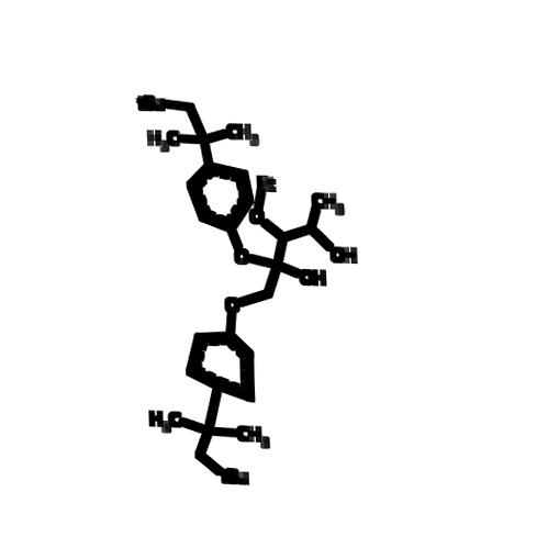 CCOC(C(C)O)C(O)(COc1ccc(C(C)(C)CC(C)(C)C)cc1)Oc1ccc(C(C)(C)CC(C)(C)C)cc1